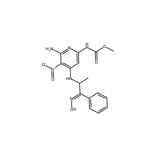 COC(=O)Nc1cc(NC(C)C(=NO)c2ccccc2)c([N+](=O)[O-])c(N)n1